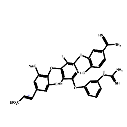 CCOC(=O)/C=C/c1cc(OC)c(Oc2c(F)c(Oc3cccc(NC(=N)N)c3)nc(Oc3cc(C(=N)N)ccc3O)c2F)c(OC)c1